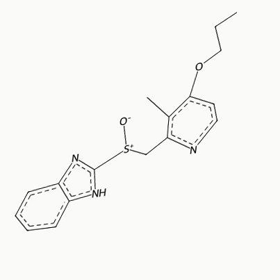 CCCOc1ccnc(C[S+]([O-])c2nc3ccccc3[nH]2)c1C